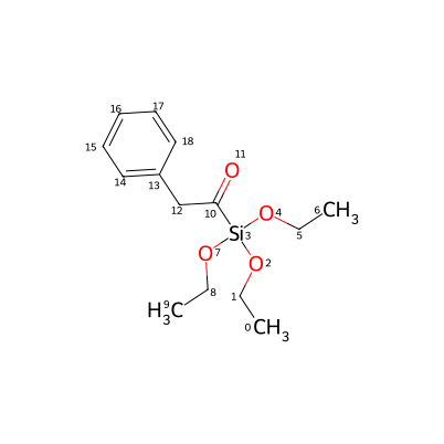 CCO[Si](OCC)(OCC)C(=O)Cc1ccccc1